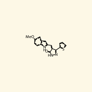 COc1ccc2[nH]c(C=C3C(=O)NN=C3c3cccs3)cc2c1